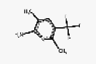 Cc1cc(C(F)(F)F)c(C)nc1N